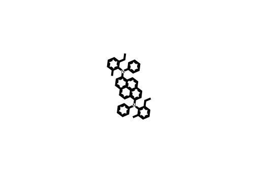 CCc1cccc(C)c1N(c1ccccc1)c1ccc2ccc3c(N(c4ccccc4)c4c(C)cccc4CC)ccc4ccc1c2c43